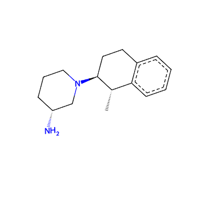 C[C@H]1c2ccccc2CC[C@@H]1N1CCC[C@@H](N)C1